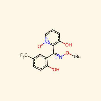 CC(C)(C)O/N=C(/c1cc(C(F)(F)F)ccc1O)c1c(O)ccc[n+]1[O-]